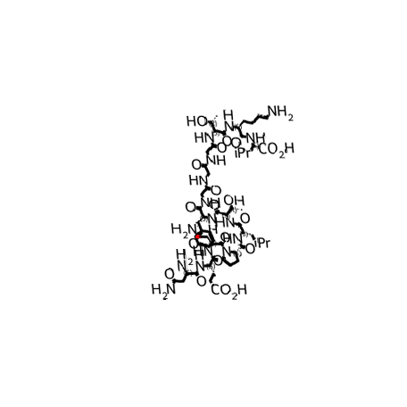 CC(C)C[C@H](NC(=O)[C@@H]1CCCN1C(=O)[C@H](CC(N)=O)NC(=O)[C@H](CCC(=O)O)NC(=O)[C@@H](N)CC(N)=O)C(=O)N[C@H](C(=O)N[C@@H](Cc1ccccc1)C(=O)NCC(=O)NCC(=O)NCC(=O)N[C@H](C(=O)N[C@@H](CCCCN)C(=O)N[C@H](C(=O)O)C(C)C)[C@@H](C)O)[C@@H](C)O